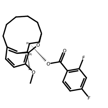 COc1ccc2c3c1OC(CCCCC2)C[C@@H](OC(=O)c1ccc(F)cc1F)[C@@H]3C